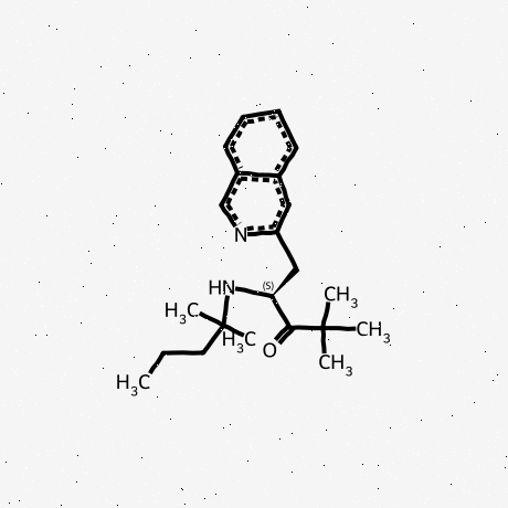 CCCC(C)(C)N[C@@H](Cc1cc2ccccc2cn1)C(=O)C(C)(C)C